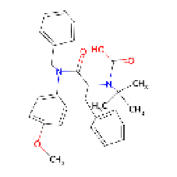 COc1ccc(N(Cc2ccccc2)C(=O)C(Cc2ccccc2)N(C(=O)O)C(C)(C)C)cc1